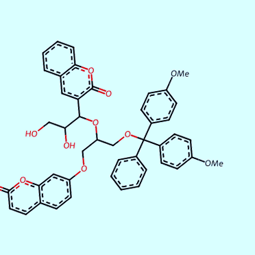 COc1ccc(C(OCC(COc2ccc3ccc(=O)oc3c2)OC(c2cc3ccccc3oc2=O)C(O)CO)(c2ccccc2)c2ccc(OC)cc2)cc1